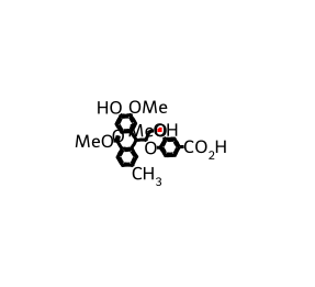 COC(=O)c1ccc(C)cc1C(c1ccc(O)c(OC)c1)C(CO)Oc1ccc(C(=O)O)cc1OC